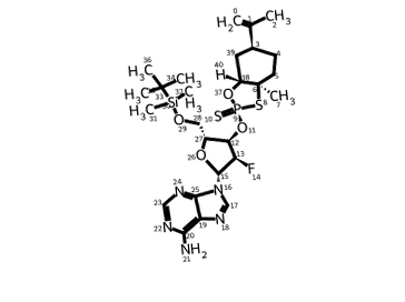 C=C(C)[C@H]1CC[C@@]2(C)S[P@@](=S)(O[C@H]3[C@@H](F)[C@H](n4cnc5c(N)ncnc54)O[C@@H]3CO[Si](C)(C)C(C)(C)C)O[C@@H]2C1